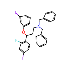 Fc1cc(I)ccc1C(CCN(Cc1ccccc1)Cc1ccccc1)Oc1cccc(I)c1